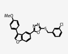 COc1ccc(-c2coc3ccc(-c4nnc(SCc5cccc(Cl)c5)o4)cc23)cc1